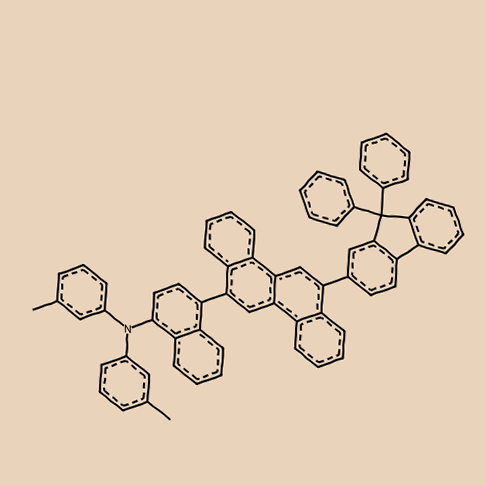 Cc1cccc(N(c2cccc(C)c2)c2ccc(-c3cc4c5ccccc5c(-c5ccc6c(c5)C(c5ccccc5)(c5ccccc5)c5ccccc5-6)cc4c4ccccc34)c3ccccc23)c1